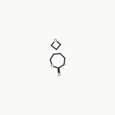 C1COC1.O=C1CCCCCO1